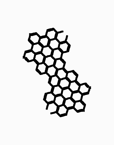 Cc1ccc2c3cncc4c5cncc6c7ccc8c9cc%10c%11ccc(C)c%12c%13c(C)ccc%14c%15cncc%16c%17cncc%18c%19ccc%20c%21cc%22c%23ccc(C)c%24c1c2c1c(c43)c(c56)c2c7c8c(c%21c9c3c%20c%19c4c(c%17%18)c(c%16%15)c(c%14%13)c(c%11%12)c4c%103)c%22c2c1c%23%24